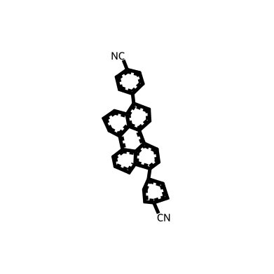 N#Cc1ccc(-c2ccc3c4ccc(-c5ccc(C#N)cc5)c5cccc(c6cccc2c63)c54)cc1